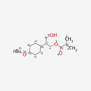 C=C(C)C(=O)OCC(CO)C1CCC(OCCCC)CC1